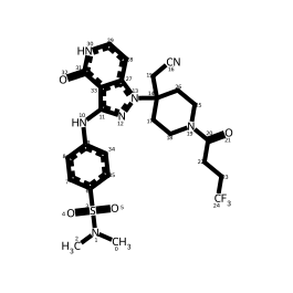 CN(C)S(=O)(=O)c1ccc(Nc2nn(C3(CC#N)CCN(C(=O)CCC(F)(F)F)CC3)c3cc[nH]c(=O)c23)cc1